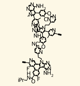 C#Cc1cc(C)c(-c2c(-c3ccc(Oc4nccc(CCn5c(-c6cnc(C#C)cc6C)c(-c6ccc(Oc7nccc(CCn8c9ncnc(N)c9c9c%10cc(F)c(C(=O)NCC(C)C)cc%10c%10c(F)c(C#C)ncc%10c98)n7)c(C#N)c6)c6c(N)ncnc65)n4)c(Cl)c3)c3c(N)ncnc3n2C)cn1